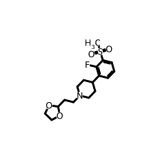 CS(=O)(=O)c1cccc(C2CCN(CCC3OCCO3)CC2)c1F